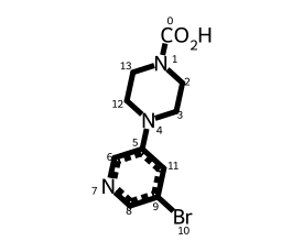 O=C(O)N1CCN(c2cncc(Br)c2)CC1